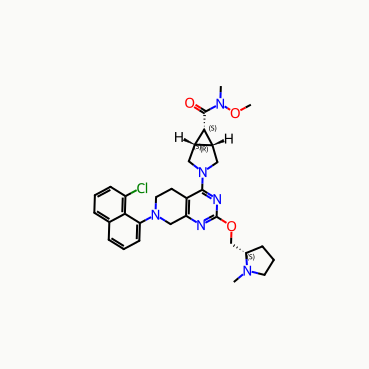 CON(C)C(=O)[C@@H]1[C@@H]2CN(c3nc(OC[C@@H]4CCCN4C)nc4c3CCN(c3cccc5cccc(Cl)c35)C4)C[C@@H]21